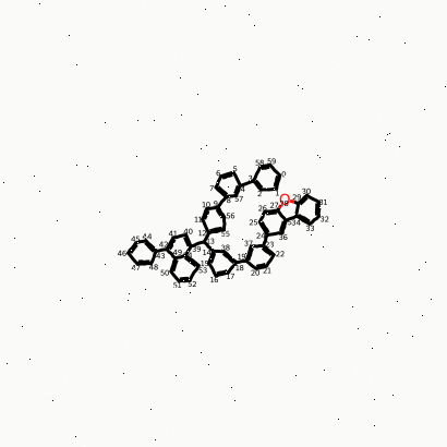 c1ccc(-c2cccc(-c3ccc(C(c4cccc(-c5cccc(-c6ccc7oc8ccccc8c7c6)c5)c4)c4ccc(-c5ccccc5)c5ccccc45)cc3)c2)cc1